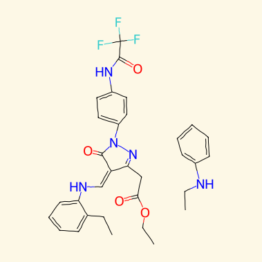 CCNc1ccccc1.CCOC(=O)CC1=NN(c2ccc(NC(=O)C(F)(F)F)cc2)C(=O)C1=CNc1ccccc1CC